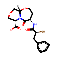 O=C(N[C@H]1CCO[C@H]2COC[C@@H](C(=O)O)N2C1=O)[C@@H](S)Cc1ccccc1